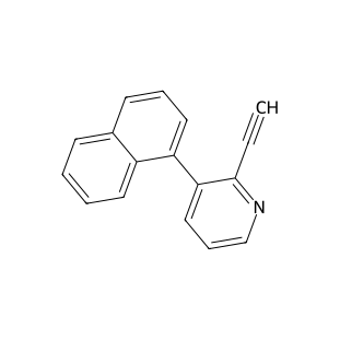 C#Cc1ncccc1-c1cccc2ccccc12